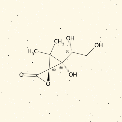 CC1(C)[C@]2(OC2=O)[C@]1(O)[C@H](O)CO